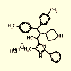 Cc1ccc(C(c2ccc(C)cc2)C(C(O)c2nc(-c3ccccc3)[nH]c2C)N2CCNCC2)cc1.Cl.Cl.Cl